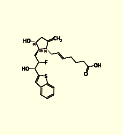 C=C1C[C@@H](O)[C@H](CC(F)C(O)c2cc3ccccc3s2)[C@H]1CC=CCCCC(=O)O